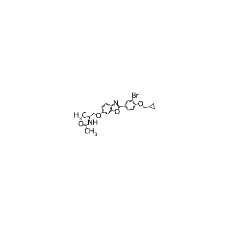 CC(=O)N[C@@H](C)COc1ccc2nc(-c3ccc(OCC4CC4)c(Br)c3)oc2c1